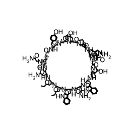 CCCC[C@H]1C(=O)N(C)[C@@H](CCCC)C(=O)N[C@@H](CCN)C(=O)N[C@H](C(=O)NCC(N)=O)CSCC(=O)N[C@@H](Cc2ccc(O)cc2)C(=O)N(C)[C@@H](C)C(=O)N[C@@H](CC(=O)O)C(=O)N2CCC[C@H]2C(=O)N[C@@H](Cc2cnc[nH]2)C(=O)N[C@@H](CCC(N)=O)C(=O)N2C[C@H](O)C[C@H]2C(=O)N[C@@H](Cc2c[nH]c3ccccc23)C(=O)N[C@@H](CCN)C(=O)N[C@@H](Cc2c[nH]c3ccccc23)C(=O)N1C